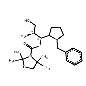 C[C@@H](CO)[C@H](OC(=O)N1C(C)(C)COC1(C)C)C1CCCN1Cc1ccccc1